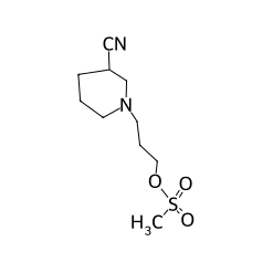 CS(=O)(=O)OCCCN1CCCC(C#N)C1